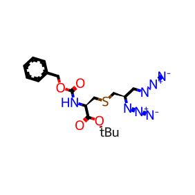 CC(C)(C)OC(=O)[C@H](CSC[C@@H](CN=[N+]=[N-])N=[N+]=[N-])NC(=O)OCc1ccccc1